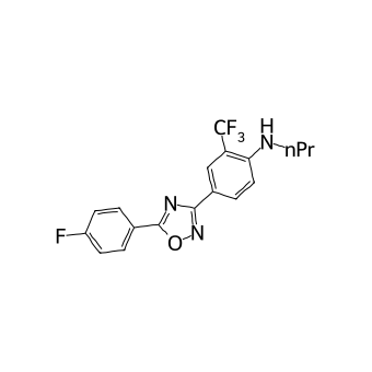 CCCNc1ccc(-c2noc(-c3ccc(F)cc3)n2)cc1C(F)(F)F